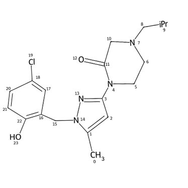 Cc1cc(N2CCN(CC(C)C)CC2=O)nn1Cc1cc(Cl)ccc1O